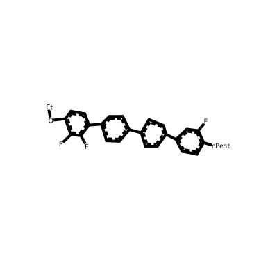 CCCCCc1ccc(-c2ccc(-c3ccc(-c4ccc(OCC)c(F)c4F)cc3)cc2)cc1F